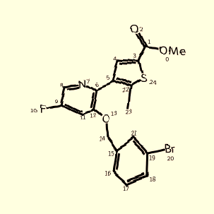 COC(=O)c1cc(-c2ncc(F)cc2OCc2cccc(Br)c2)c(C)s1